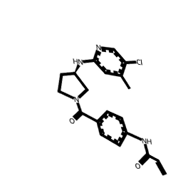 C=CC(=O)Nc1ccc(C(=O)N2CC[C@@H](Nc3cc(C)c(Cl)cn3)C2)cc1